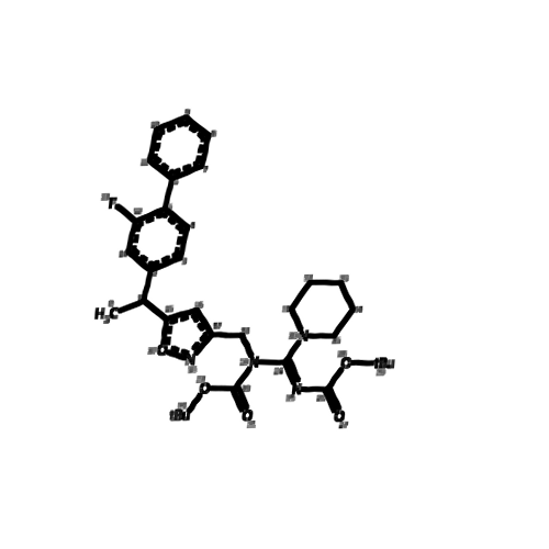 CC(c1ccc(-c2ccccc2)c(F)c1)c1cc(CN(C(=O)OC(C)(C)C)C(=NC(=O)OC(C)(C)C)N2CCCCC2)no1